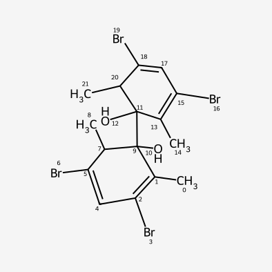 CC1=C(Br)C=C(Br)C(C)C1(O)C1(O)C(C)=C(Br)C=C(Br)C1C